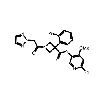 COc1cc(Cl)ncc1NC(=O)C1(c2ccccc2C(C)C)CN(C(=O)Cn2nccn2)C1